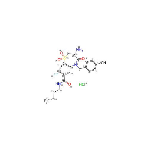 Cl.N#Cc1ccc(CN2C(=O)[C@@H](N)CS(=O)(=O)c3cc(F)c(C(=O)NCCCC(F)(F)F)cc32)cc1